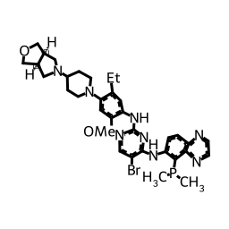 CCc1cc(Nc2ncc(Br)c(Nc3ccc4nccnc4c3P(C)C)n2)c(OC)cc1N1CCC(N2C[C@H]3COC[C@H]3C2)CC1